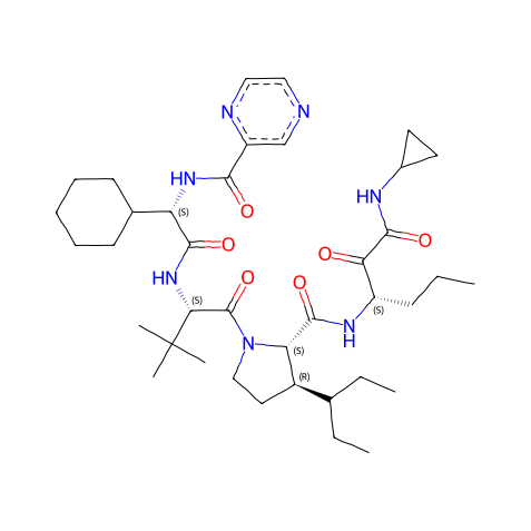 CCC[C@H](NC(=O)[C@@H]1[C@@H](C(CC)CC)CCN1C(=O)[C@@H](NC(=O)[C@@H](NC(=O)c1cnccn1)C1CCCCC1)C(C)(C)C)C(=O)C(=O)NC1CC1